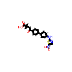 CC(C)(CC(=O)c1ccc(-c2ccc(Nc3ncc([N+](=O)[O-])s3)cc2)cc1)C(=O)O